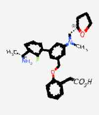 C[C@@H](N)c1cccc(-c2cc(COc3ccccc3CC(=O)O)cc(N(C)C[C@@H]3CCCO3)c2)c1F